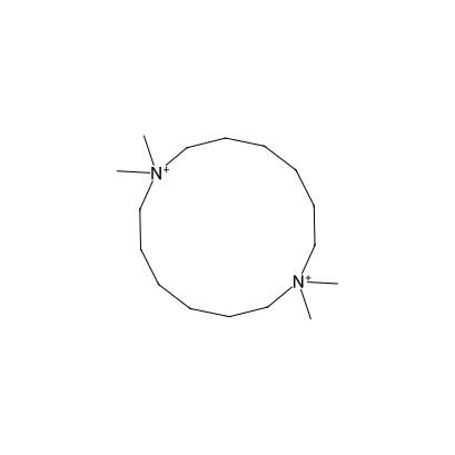 C[N+]1(C)CCCCCC[N+](C)(C)CCCCCC1